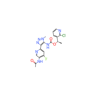 CC(=O)Nc1cnc(-c2nnn(C)c2NC(=O)O[C@H](C)c2cccnc2Cl)cc1F